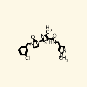 Cc1nc(N2CCN(Cc3cccc(Cl)c3)C2=O)sc1C(=O)NCc1cnn(C)c1